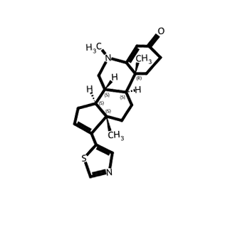 CN1C[C@@H]2[C@H](CC[C@]3(C)C(c4cncs4)=CC[C@@H]23)[C@@]2(C)CCC(=O)C=C12